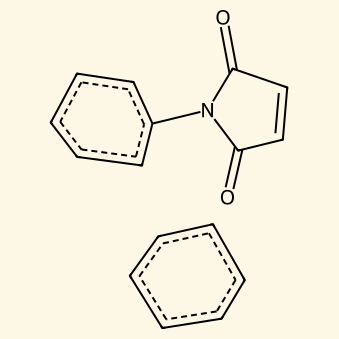 O=C1C=CC(=O)N1c1ccccc1.c1ccccc1